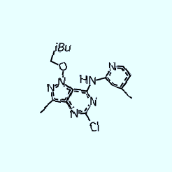 CCC(C)COn1nc(C)c2nc(Cl)nc(Nc3cc(C)ccn3)c21